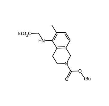 CCOC(=O)CNc1c(C)ccc2c1CCN(C(=O)OC(C)(C)C)C2